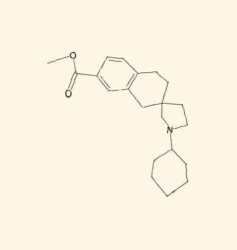 COC(=O)c1ccc2c(c1)CC1(CC2)CCN(C2CCCCC2)C1